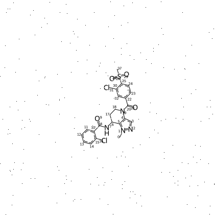 Cn1ncc2c1C(NC(=O)c1ccccc1Cl)CCN2C(=O)c1ccc(S(C)(=O)=O)c(Cl)c1